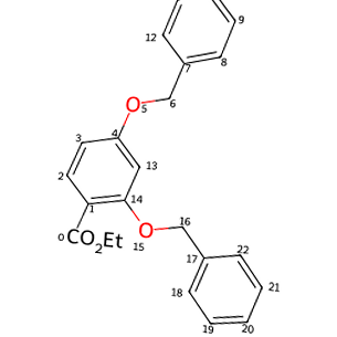 CCOC(=O)c1ccc(OCc2ccccc2)cc1OCc1ccccc1